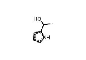 [CH2]C(O)c1ccc[nH]1